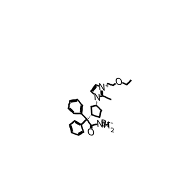 CCOCC[n+]1ccn([C@@H]2CC[C@H](C(C(N)=O)(c3ccccc3)c3ccccc3)C2)c1C.[Br-]